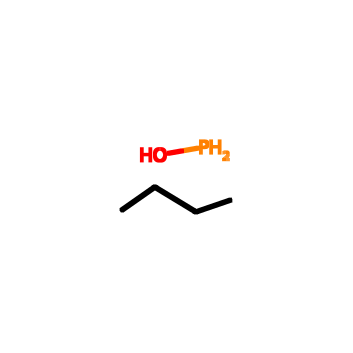 CCCC.OP